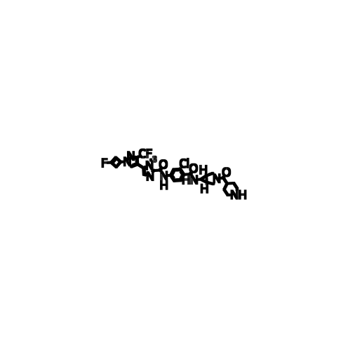 Cn1c(-c2cn(C3C=C(F)C3)nc2C(F)(F)F)cnc1C(=O)Nc1ccc(C(=O)NC2[C@H]3CN(C(=O)C4CCNCC4)C[C@@H]23)c(Cl)c1